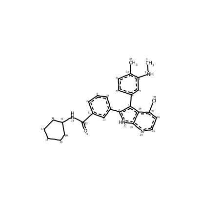 CNc1cc(-c2c(-c3cccc(C(=O)NC4CCCCC4)c3)[nH]c3nccc(Cl)c23)ccc1C